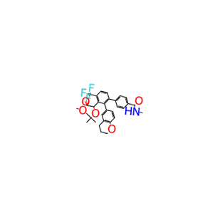 CNC(=O)c1ccc(-c2ccc(C(F)(F)F)c(C(OC(C)(C)C)C(=O)OC)c2-c2ccc3c(c2)CCCO3)cc1